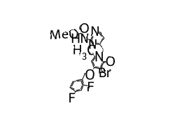 COC(=O)Nc1nccc(Cn2c(C)cc(OCc3ccc(F)cc3F)c(Br)c2=O)n1